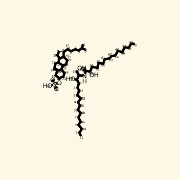 CC(C)CCC[C@@H](C)[C@H]1CCC2C3CC=C4CC(OS(=O)(=O)O)CC[C@]4(C)C3CC[C@@]21C.CCCCCCCCCCCCCCCC(O)C(CO)NC(=O)C(O)CCCCCCCCCCCCCC